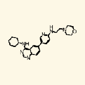 c1nc(NC2CCCCC2)c2cc(-c3ccc(NCCN4CCOCC4)nc3)ccc2n1